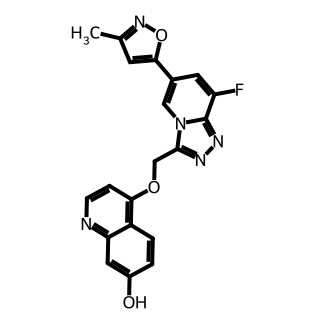 Cc1cc(-c2cc(F)c3nnc(COc4ccnc5cc(O)ccc45)n3c2)on1